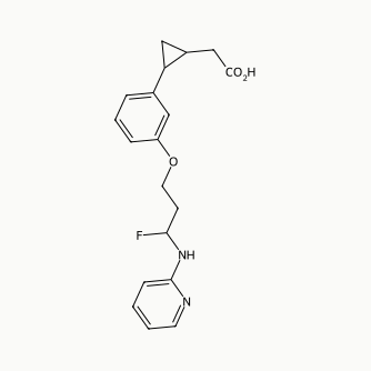 O=C(O)CC1CC1c1cccc(OCCC(F)Nc2ccccn2)c1